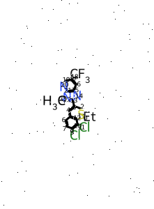 CCSC/C(=C\c1ccc(Cl)c(Cl)c1)c1nc2cc(C(F)(F)F)cnc2n1C